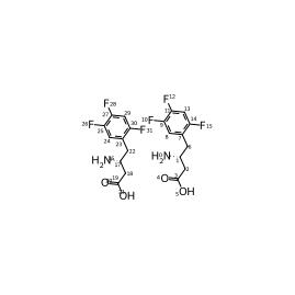 N[C@@H](CC(=O)O)Cc1cc(F)c(F)cc1F.N[C@@H](CC(=O)O)Cc1cc(F)c(F)cc1F